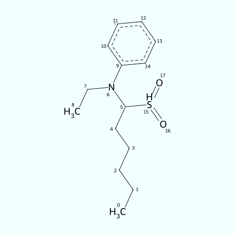 CCCCCC(N(CC)c1c[c]ccc1)[SH](=O)=O